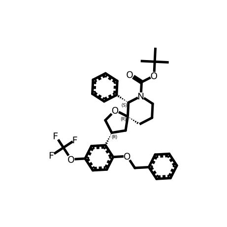 CC(C)(C)OC(=O)N1CCC[C@@]2(C[C@H](c3cc(OC(F)(F)F)ccc3OCc3ccccc3)CO2)[C@@H]1c1ccccc1